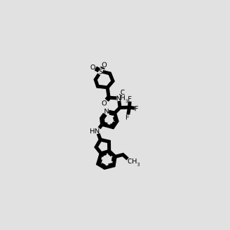 CCc1cccc2c1CC(Nc1ccc(C(N(C)C(=O)C3CCS(=O)(=O)CC3)C(F)(F)F)nc1)C2